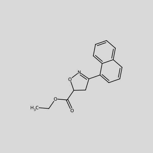 CCOC(=O)C1CC(c2cccc3ccccc23)=NO1